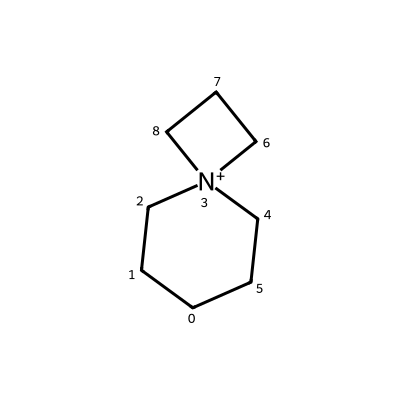 C1CC[N+]2(CC1)CCC2